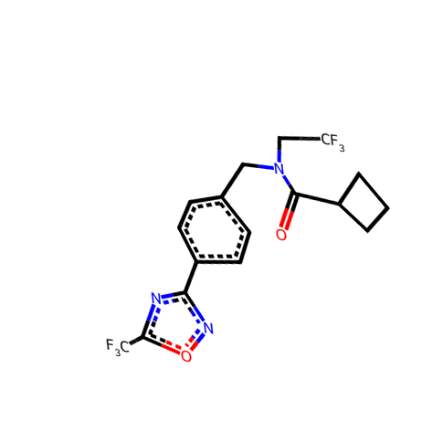 O=C(C1CCC1)N(Cc1ccc(-c2noc(C(F)(F)F)n2)cc1)CC(F)(F)F